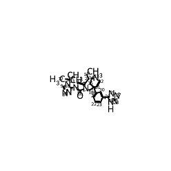 CCCc1cn(-c2nncn2C(C)(C)C)c(=O)n1CC1(c2cccc(-c3nnn[nH]3)c2)C=CN=CC1